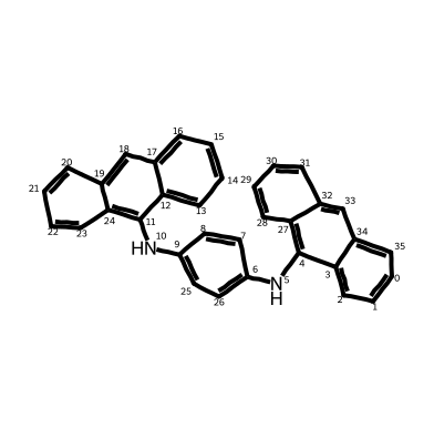 c1ccc2c(Nc3ccc(Nc4c5ccccc5cc5ccccc45)cc3)c3ccccc3cc2c1